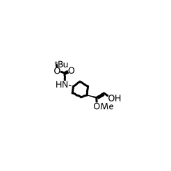 CO/C(=C\O)[C@H]1CC[C@H](NC(=O)OC(C)(C)C)CC1